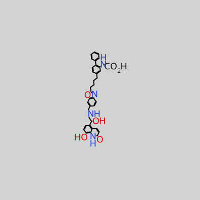 O=C(O)Nc1cc(CCCCc2nc3ccc(CNCC(O)c4ccc(O)c5[nH]c(=O)ccc45)cc3o2)ccc1-c1ccccc1